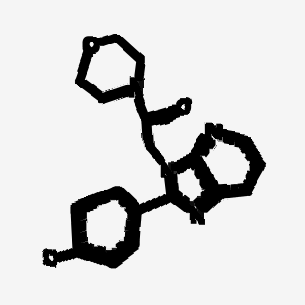 O=C(Cn1c(-c2ccc(Cl)cc2)nc2cccnc21)N1CCOCC1